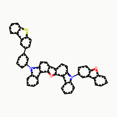 c1cc(-c2ccc3sc4ccccc4c3c2)cc(-n2c3ccccc3c3c4oc5c(ccc6c5c5ccccc5n6-c5ccc6oc7ccccc7c6c5)c4ccc32)c1